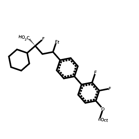 CCCCCCCCOc1ccc(-c2ccc(C(CC)C[C@@](F)(C(=O)O)C3CCCCC3)cc2)c(F)c1F